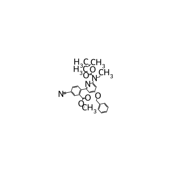 CCN(C(=O)OC(C)(C)C)c1cc(OCc2ccccc2)cc(-c2ccc(C#N)cc2C(=O)OC)n1